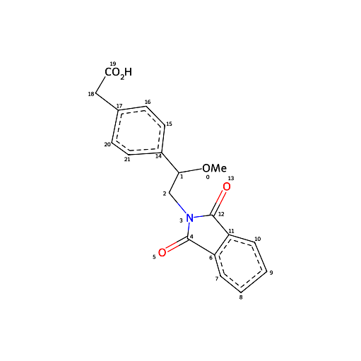 COC(CN1C(=O)c2ccccc2C1=O)c1ccc(CC(=O)O)cc1